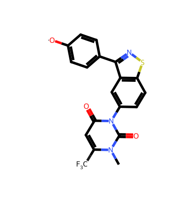 Cn1c(C(F)(F)F)cc(=O)n(-c2ccc3snc(-c4ccc([O])cc4)c3c2)c1=O